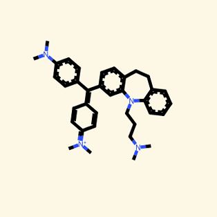 CN(C)CCCN1c2ccccc2CCc2ccc(C(=C3C=CC(=[N+](C)C)C=C3)c3ccc(N(C)C)cc3)cc21